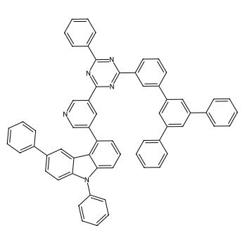 c1ccc(-c2cc(-c3ccccc3)cc(-c3cccc(-c4nc(-c5ccccc5)nc(-c5cncc(-c6cccc7c6c6cc(-c8ccccc8)ccc6n7-c6ccccc6)c5)n4)c3)c2)cc1